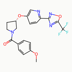 COc1ccc(C(=O)N2CC[C@H](Oc3ccc(-c4noc(C(F)(F)F)n4)nc3)C2)cc1